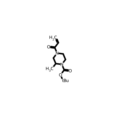 C=CC(=O)N1CCN(C(=O)OC(C)(C)C)C(C)C1